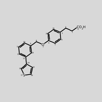 O=C(O)CCc1ccc(OCc2cccc(-c3ccsc3)c2)cc1